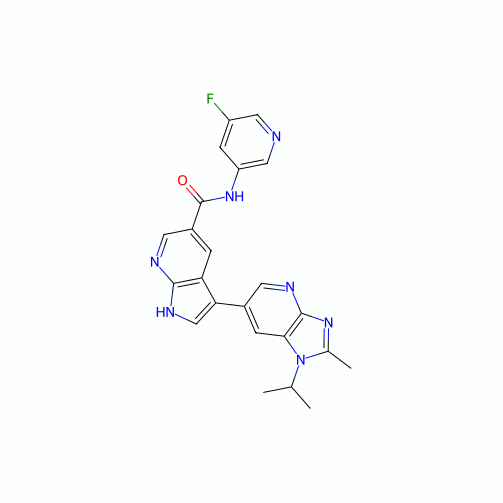 Cc1nc2ncc(-c3c[nH]c4ncc(C(=O)Nc5cncc(F)c5)cc34)cc2n1C(C)C